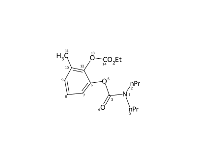 CCCN(CCC)C(=O)Oc1cccc(C)c1OC(=O)OCC